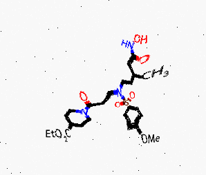 CCOC(=O)C1CCN(C(=O)CCN(CCC(C)CC(=O)NO)S(=O)(=O)c2ccc(OC)cc2)CC1